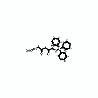 O=[CH][Rh][CH2]C(=O)CC(=O)C(=O)O[PH](c1ccccc1)(c1ccccc1)c1ccccc1